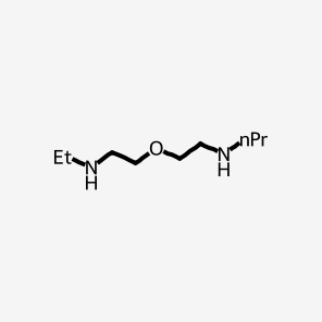 CCCNCCOCCNCC